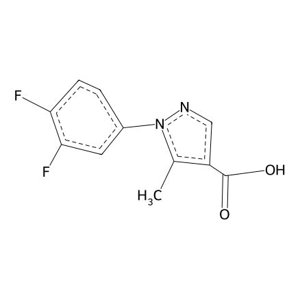 Cc1c(C(=O)O)cnn1-c1ccc(F)c(F)c1